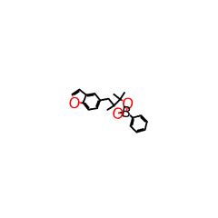 CC1(C)OB(c2ccccc2)OC1(C)Cc1ccc2occc2c1